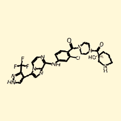 O=C(c1ccc(Nc2nccn3c(-c4c[nH]nc4C(F)(F)F)cnc23)cc1Cl)N1CCN(C(=O)[C@@]2(O)CCCNC2)CC1